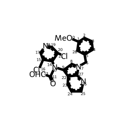 COc1cccc(Cn2cc(N(C(=O)C=O)c3c(Cl)cncc3Cl)c3cccnc32)c1